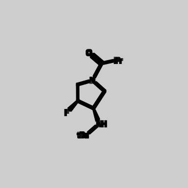 CC(C)C(=O)N1C[C@H](F)[C@H](NC(C)(C)C)C1